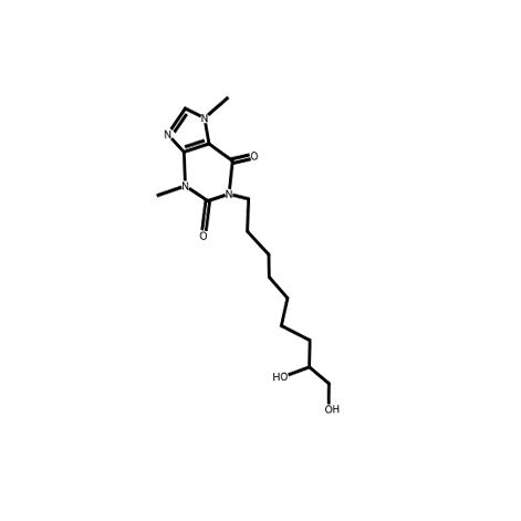 Cn1cnc2c1c(=O)n(CCCCCCCC(O)CO)c(=O)n2C